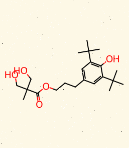 CC(CO)(CO)C(=O)OCCCc1cc(C(C)(C)C)c(O)c(C(C)(C)C)c1